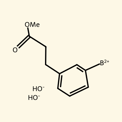 [B+2]c1cccc(CCC(=O)OC)c1.[OH-].[OH-]